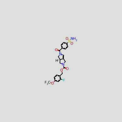 NS(=O)(=O)c1ccc(C(=O)N2C=C3CN(C(=O)OCc4ccc(OC(F)(F)F)cc4F)C[C@H]3C2)cc1